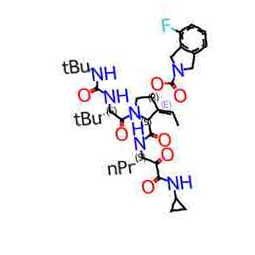 C/C=C1/[C@@H](OC(=O)N2Cc3cccc(F)c3C2)CN(C(=O)[C@@H](NC(=O)NC(C)(C)C)C(C)(C)C)[C@@H]1C(=O)N[C@@H](CCC)C(=O)C(=O)NC1CC1